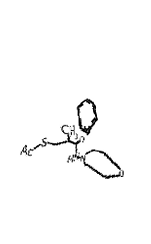 CC(=O)SCC(C)C(=O)NN1CCOCC1.c1ccccc1